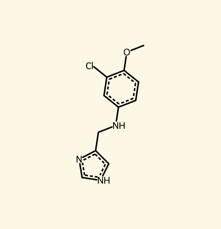 COc1ccc(NCc2c[nH]cn2)cc1Cl